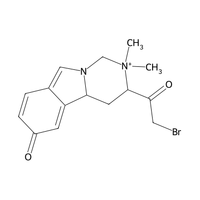 C[N+]1(C)CN2C=C3C=CC(=O)C=C3C2CC1C(=O)CBr